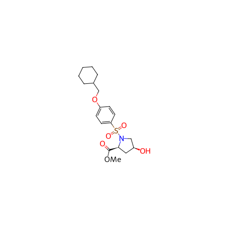 COC(=O)[C@@H]1C[C@H](O)CN1S(=O)(=O)c1ccc(OCC2CCCCC2)cc1